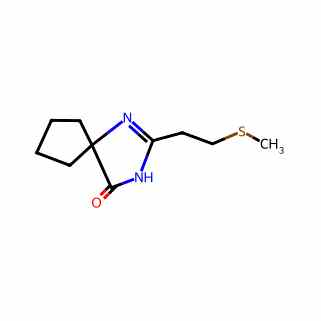 CSCCC1=NC2(CCCC2)C(=O)N1